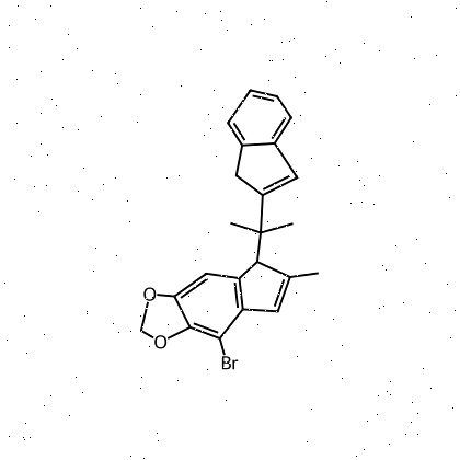 CC1=Cc2c(cc3c(c2Br)OCO3)C1C(C)(C)C1=Cc2ccccc2C1